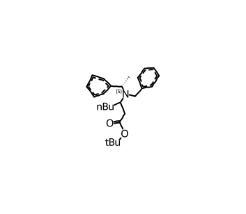 CCCCC(CC(=O)OC(C)(C)C)N(Cc1ccccc1)[C@@H](C)c1ccccc1